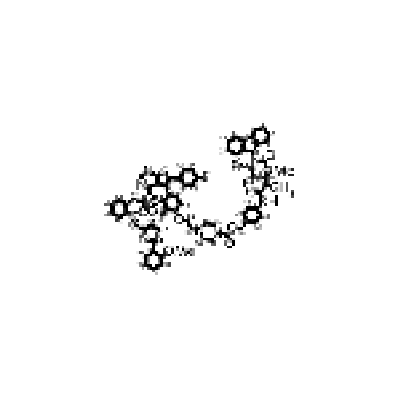 COC(=O)N(C1c2ccccc2-c2ccccc21)[C@H](C(=O)N[C@@H](C)C(=O)Nc1ccc(COC(=O)N2CCN(CCOc3ccc(-c4c(-c5ccc(F)cc5)sc5ncnc(O[C@H](Cc6ccccc6OCc6ccnc(-c7ccccc7OC)n6)C(=O)O)c45)c(C)c3Cl)CC2)cc1)C(C)C